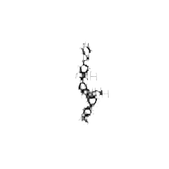 CN1CCN(CCc2ccc(NC(=O)c3ccc4nc(-c5cc(-c6ccc(N(C)C)cc6)ccc5O)[nH]c4c3)cc2)CC1